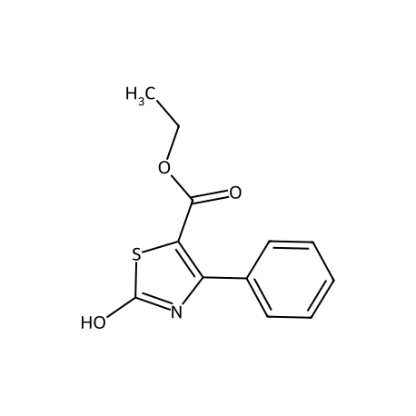 CCOC(=O)c1sc(O)nc1-c1ccccc1